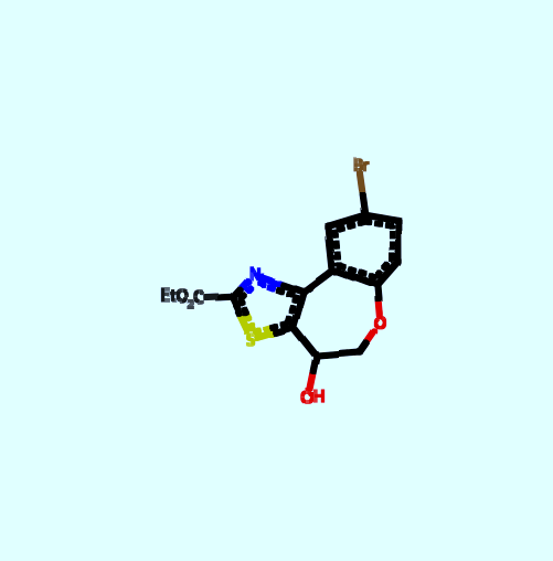 CCOC(=O)c1nc2c(s1)C(O)COc1ccc(Br)cc1-2